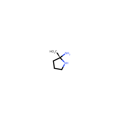 N[C@@]1(C(=O)O)CCCN1